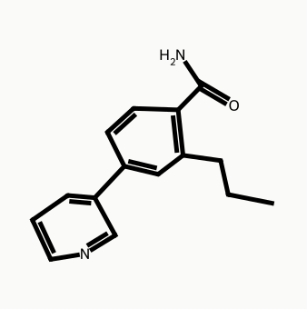 CCCc1cc(-c2cccnc2)ccc1C(N)=O